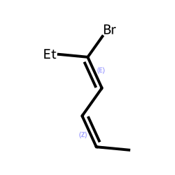 C/C=C\C=C(\Br)CC